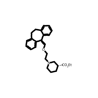 CCOC(=O)[C@@H]1CCCN(CCOC=C2c3ccccc3CCc3ccccc32)C1